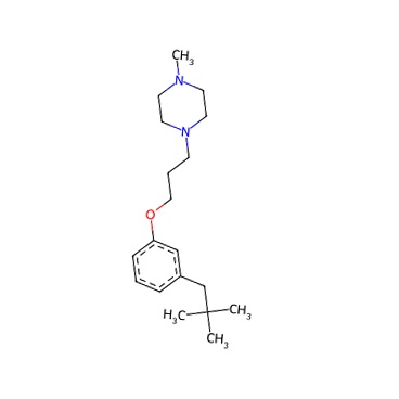 CN1CCN(CCCOc2cccc(CC(C)(C)C)c2)CC1